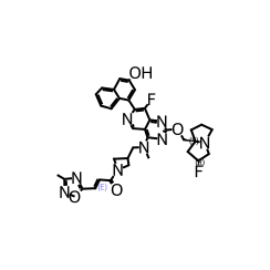 Cc1noc(/C=C/C(=O)N2CC(CN(C)c3nc(OC[C@@]45CCCN4C[C@H](F)C5)nc4c(F)c(-c5cc(O)cc6ccccc56)ncc34)C2)n1